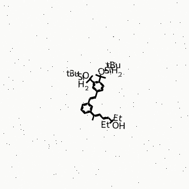 CCC(O)(C=CC=C(C)c1cccc(C=Cc2ccc(C(C)(C)O[SiH2]C(C)(C)C)c(C(C)(C)O[SiH2]C(C)(C)C)c2)c1)CC